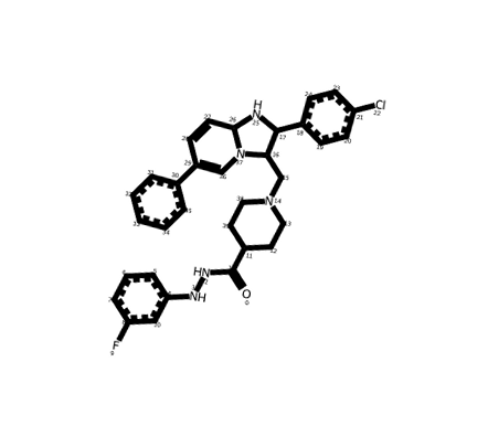 O=C(NNc1cccc(F)c1)C1CCN(CC2C(c3ccc(Cl)cc3)NC3C=CC(c4ccccc4)=CN32)CC1